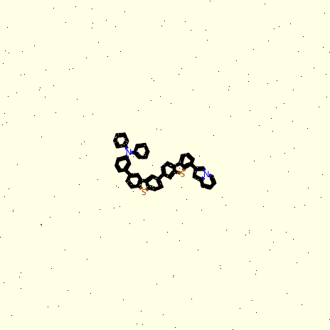 c1ccc(N(c2ccccc2)c2cccc(-c3ccc4sc5ccc(-c6ccc7c(c6)sc6c(-c8cc9ccccn9c8)cccc67)cc5c4c3)c2)cc1